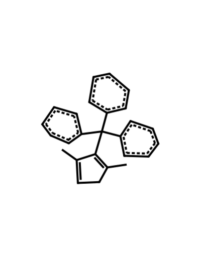 CC1=CCC(C)=C1C(c1ccccc1)(c1ccccc1)c1ccccc1